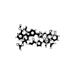 C=CC(=O)N1CC[C@H](C(=O)N(C)[C@H](C(=O)N[C@@H](Cn2cnc(-c3ccc4c(c3)c(CC(C)(C)COC(C)=O)c(-c3cccnc3[C@H](C)OC)n4CC)n2)C(=O)N2CCCCN2)C(C)C)C1